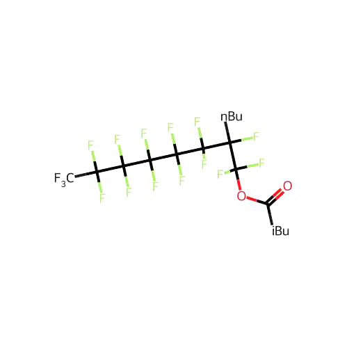 CCCCC(F)(C(F)(F)OC(=O)C(C)CC)C(F)(F)C(F)(F)C(F)(F)C(F)(F)C(F)(F)C(F)(F)F